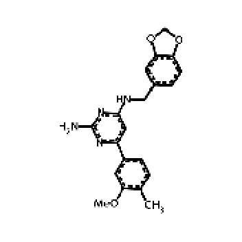 COc1cc(-c2cc(NCc3ccc4c(c3)OCO4)nc(N)n2)ccc1C